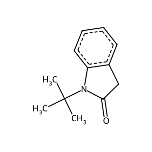 CC(C)(C)N1C(=O)Cc2ccccc21